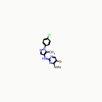 CNc1nc(Nc2cnn(-c3ccc(Cl)cc3)c2C)ncc1Br